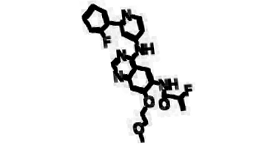 C=C(F)C(=O)Nc1cc2c(Nc3ccnc(-c4ccccc4F)c3)ncnc2cc1OCCOC